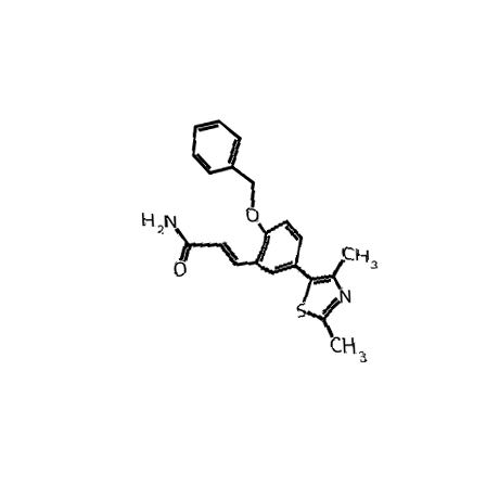 Cc1nc(C)c(-c2ccc(OCc3ccccc3)c(C=CC(N)=O)c2)s1